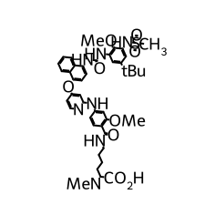 CN[C@@H](CCCCNC(=O)c1ccc(Nc2cc(Oc3ccc(NC(=O)Nc4cc(C(C)(C)C)cc(NS(C)(=O)=O)c4OC)c4ccccc34)ccn2)cc1OC)C(=O)O